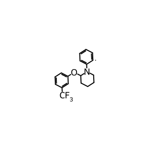 FC(F)(F)c1cccc(OC2CCCCN2c2[c]cccc2)c1